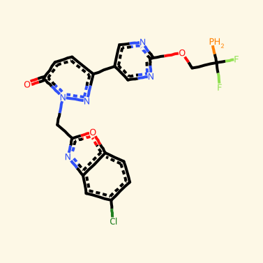 O=c1ccc(-c2cnc(OCC(F)(F)P)nc2)nn1Cc1nc2cc(Cl)ccc2o1